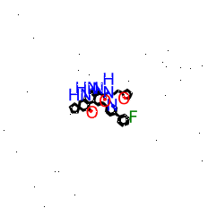 O=C1CC2(CCCC2)CC2=C1C(/C=C/c1ccc(-c3cccc(F)c3)cn1)c1c(C(=O)NCCC3CCCO3)n[nH]c1N2